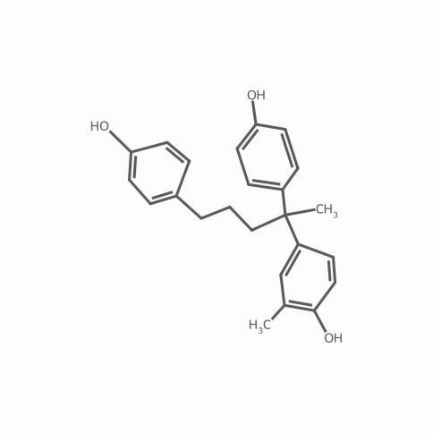 Cc1cc(C(C)(CCCc2ccc(O)cc2)c2ccc(O)cc2)ccc1O